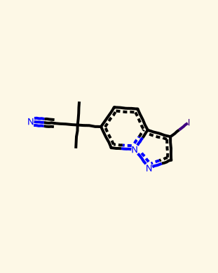 CC(C)(C#N)c1ccc2c(I)cnn2c1